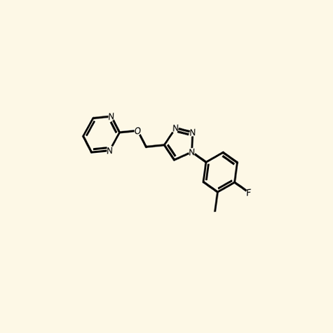 Cc1cc(-n2cc(COc3ncccn3)nn2)ccc1F